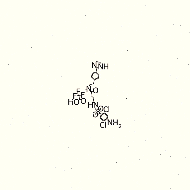 CN(CCc1ccc(C2=NCCN2)cc1)C(=O)CCCNCS(=O)(=O)c1cc(Cl)c(N)cc1Cl.O=C(O)C(F)(F)F